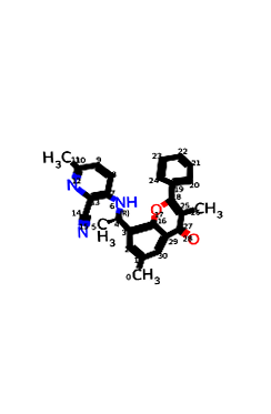 Cc1cc([C@@H](C)Nc2ccc(C)nc2C#N)c2oc(-c3ccccc3)c(C)c(=O)c2c1